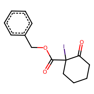 O=C1CCCCC1(I)C(=O)OCc1ccccc1